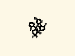 CS(=O)(=O)c1ccc(F)c2c3ncc(Br)cc3n(C(c3ncccc3F)C3CCC(F)(F)CC3)c12